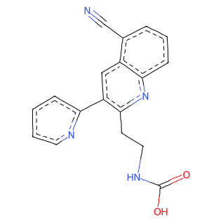 N#Cc1cccc2nc(CCNC(=O)O)c(-c3ccccn3)cc12